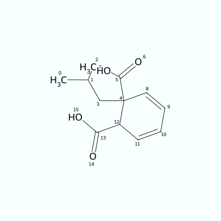 CC(C)CC1(C(=O)O)C=CC=CC1C(=O)O